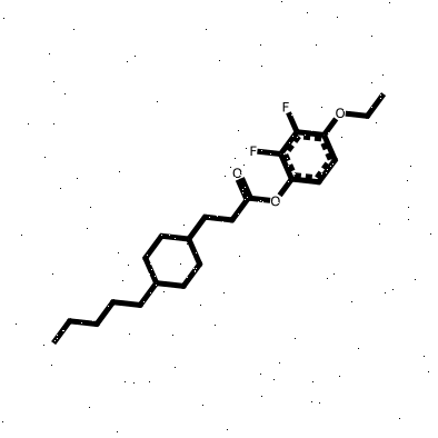 CCCCCC1CCC(CCC(=O)Oc2ccc(OCC)c(F)c2F)CC1